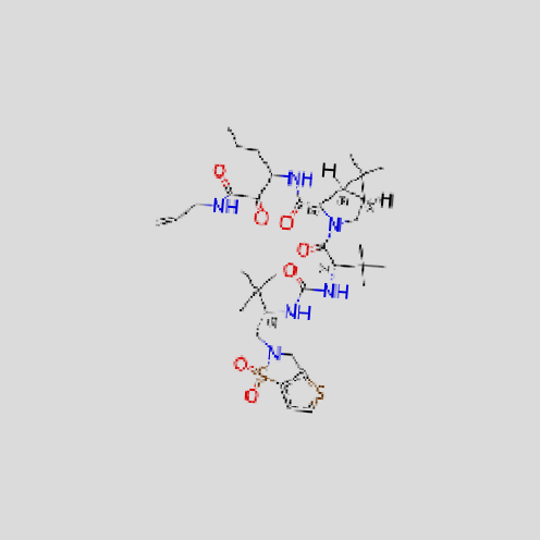 C=CCNC(=O)C(=O)C(CCC)NC(=O)[C@@H]1[C@@H]2[C@H](CN1C(=O)[C@@H](NC(=O)N[C@H](CN1Cc3sccc3S1(=O)=O)C(C)(C)C)C(C)(C)C)C2(C)C